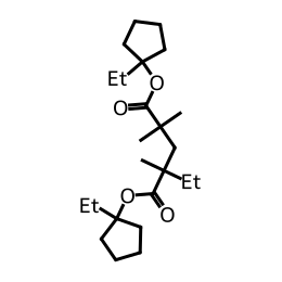 CCC1(OC(=O)C(C)(C)CC(C)(CC)C(=O)OC2(CC)CCCC2)CCCC1